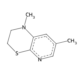 Cc1cnc2c(c1)N(C)CCS2